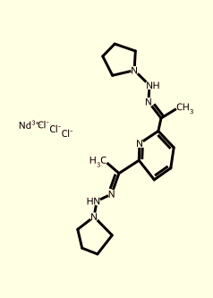 CC(=NNN1CCCC1)c1cccc(C(C)=NNN2CCCC2)n1.[Cl-].[Cl-].[Cl-].[Nd+3]